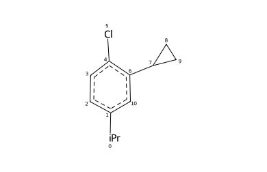 [CH2]C(C)c1ccc(Cl)c(C2CC2)c1